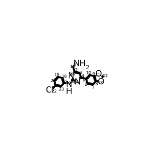 NCc1cc(-c2ccc3c(c2)OCO3)nc(Nc2cccc(Cl)c2)n1